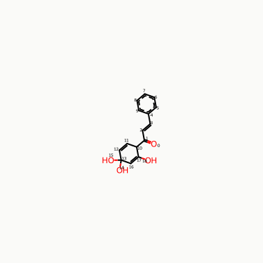 O=C(/C=C/c1ccccc1)C1C=CC(O)(O)C=C1O